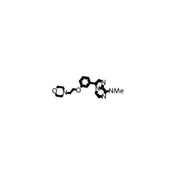 CNc1nccn2c(-c3cccc(OCCN4CCOCC4)c3)cnc12